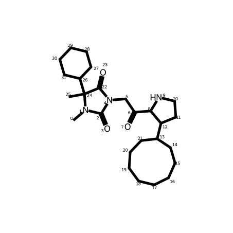 CN1C(=O)N(CC(=O)C2NCCC2C2CCCCCCCC2)C(=O)C1(C)C1CCCCC1